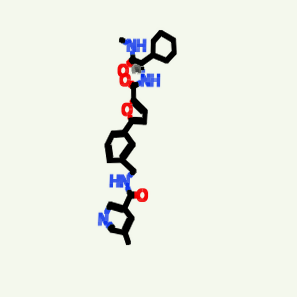 CNC(=O)[C@@H](NC(=O)c1ccc(-c2cccc(CNC(=O)c3cncc(C)c3)c2)o1)C1CCCCC1